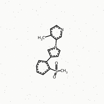 Cc1ccncc1-n1ccc(-c2ccccc2S(C)(=O)=O)c1